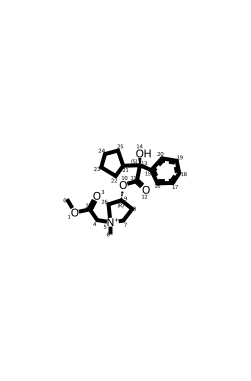 COC(=O)C[N+]1(C)CC[C@@H](OC(=O)[C@@](O)(c2ccccc2)C2CCCC2)C1